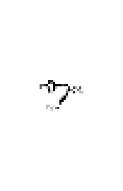 CC#C[C](C)Cc1ccc(F)cc1